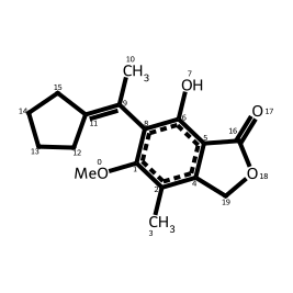 COc1c(C)c2c(c(O)c1C(C)=C1CCCC1)C(=O)OC2